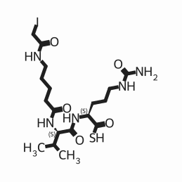 CC(C)[C@H](NC(=O)CCCCNC(=O)CI)C(=O)N[C@@H](CCCNC(N)=O)C(=O)S